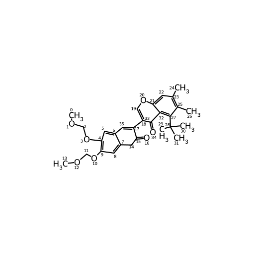 COCOc1cc2c(cc1OCOC)CC(=O)C(c1coc3cc(C)c(C)c(C(C)(C)C)c3c1=O)=C2